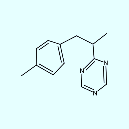 Cc1ccc(CC(C)c2ncncn2)cc1